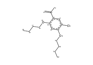 C=C(C)c1cc(Cl)c(OCCCC)cc1OCCCC